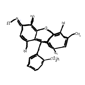 [2H]c1c/c(=N\CC)c([2H])c2oc3c([2H])c(C)cc([2H])c3c(-c3ccccc3C(=O)O)c1-2